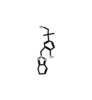 CC(C)(C)CC(C)(C)c1ccc(O)c(Cn2nc3c(n2)CCC=C3)c1